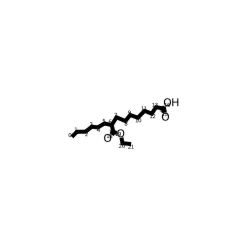 CCCCCCC(CCCCCCCC(=O)O)C(=O)OCC